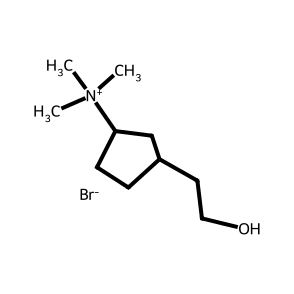 C[N+](C)(C)C1CCC(CCO)C1.[Br-]